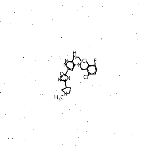 CN1CCC(c2noc(-c3cc4c(nn3)NCCN4Cc3c(Cl)ccc(F)c3Cl)n2)C1